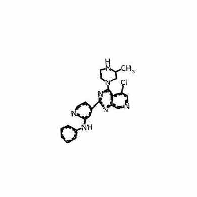 CC1CN(c2nc(-c3ccnc(Nc4ccccc4)c3)nc3cncc(Cl)c23)CCN1